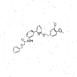 COc1ccc(CCOc2cccc(-c3cccc(NC(=O)COCc4ccccc4)c3)n2)cc1OC